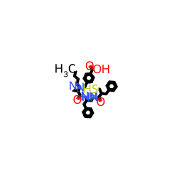 CCCCc1ncc(C(=O)NC(CNC(=O)C(CS)Cc2ccccc2)Cc2ccccc2)n1Cc1ccc(C(=O)O)cc1